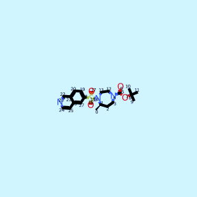 C[C@@H]1CCN(C(=O)OC(C)(C)C)CCN1S(=O)(=O)c1ccc2cnccc2c1